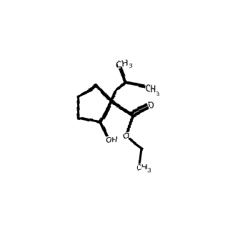 CCOC(=O)C1(C(C)C)CCCC1O